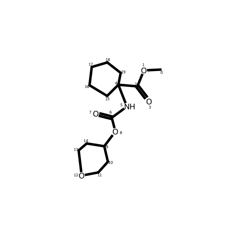 COC(=O)C1(NC(=O)OC2CCOCC2)CCCCC1